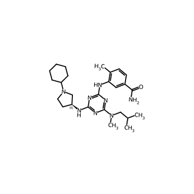 Cc1ccc(C(N)=O)cc1Nc1nc(N[C@H]2CCN(C3CCCCC3)C2)nc(N(C)CC(C)C)n1